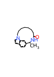 CC1NC(=O)CCCCCCCn2ccc3ccc1cc32